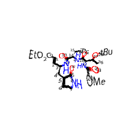 CCOC(=O)/C=C/[C@H](C[C@@H]1CCNC1=O)NC(=O)[C@H](CC(C)C)NC(=O)[C@@H](NC(=O)OC)C(C)OC(C)(C)C